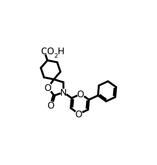 O=C(O)C1CCC2(CC1)CN(C1=COC=C(C3=CC=CCC3)O1)C(=O)O2